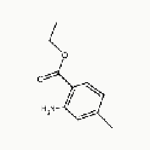 CCOC(=O)c1ccc(C)cc1N